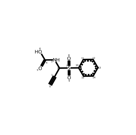 C#CC(NC(=O)O)S(=O)(=O)c1ccccc1